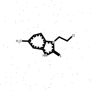 Cc1ccc2c(c1)[nH]c(=S)n2CCCl